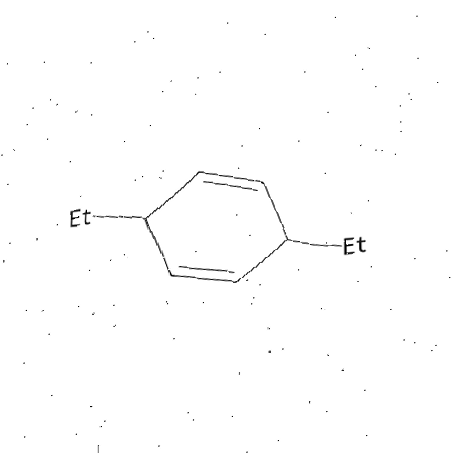 CCC1C=CC(CC)C=C1